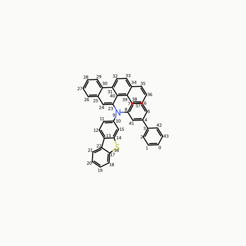 c1ccc(-c2cccc(N(c3ccc4c(c3)sc3ccccc34)c3cc4ccccc4c4ccc5ccccc5c34)c2)cc1